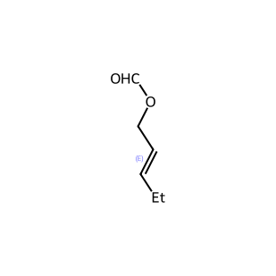 CC/C=C/COC=O